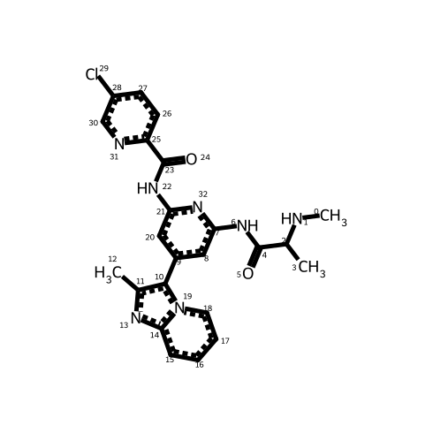 CNC(C)C(=O)Nc1cc(-c2c(C)nc3ccccn23)cc(NC(=O)c2ccc(Cl)cn2)n1